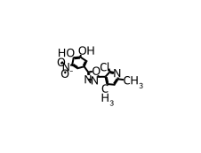 Cc1cc(C)c(-c2nnc(-c3cc(O)c(O)c([N+](=O)[O-])c3)o2)c(Cl)n1